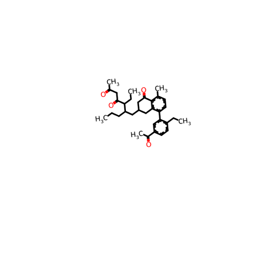 CCCC(CC1CC(=O)c2c(C)ccc(-c3cc(C(C)=O)ccc3CC)c2C1)C(CC)C(=O)CC(C)=O